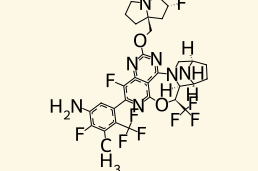 Cc1c(F)c(N)cc(-c2nc3c4c(nc(OC[C@@]56CCCN5C[C@H](F)C6)nc4c2F)N2C[C@H]4CC[C@H](N4)[C@H]2[C@@H](C(F)(F)F)O3)c1C(F)(F)F